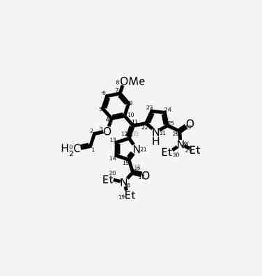 C=CCOc1ccc(OC)cc1/C(=C1\C=CC(C(=O)N(CC)CC)=N1)c1ccc(C(=O)N(CC)CC)[nH]1